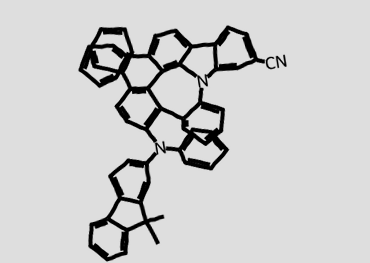 CC1(C)c2ccccc2-c2ccc(N(c3ccccc3)c3ccc(-c4ccccc4)c4c3-c3ccccc3-n3c5cc(C#N)ccc5c5ccc(-c6ccccc6)c-4c53)cc21